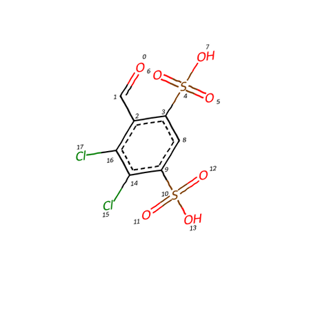 O=Cc1c(S(=O)(=O)O)cc(S(=O)(=O)O)c(Cl)c1Cl